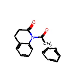 CC(=O)N1C(=O)CCc2ccccc21.c1ccccc1